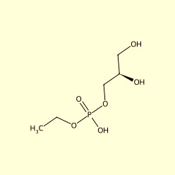 CCOP(=O)(O)OC[C@H](O)CO